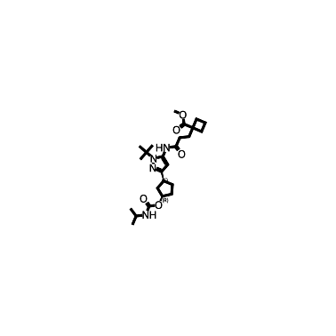 COC(=O)C1(CCC(=O)Nc2cc([C@H]3CC[C@@H](OC(=O)NC(C)C)C3)nn2C(C)(C)C)CCC1